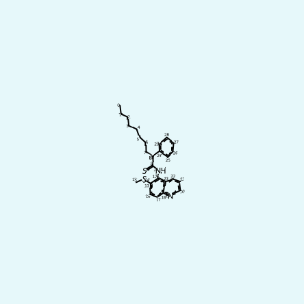 CCCCCCCC[C@H](C(=S)Nc1c(SC)ccc2ncccc12)c1ccccc1